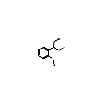 CCOc1ccccc1C(CO)OCC